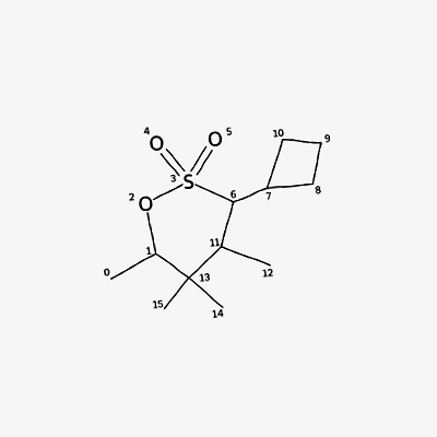 CC1OS(=O)(=O)C(C2CCC2)C(C)C1(C)C